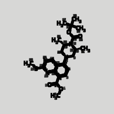 COC(=O)c1ccc(N2C[C@@H](C)N(C(=O)OC(C)(C)C)[C@@H](C)C2)c2cnc(SC)nc12